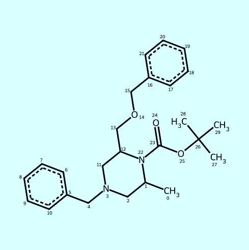 CC1CN(Cc2ccccc2)CC(COCc2ccccc2)N1C(=O)OC(C)(C)C